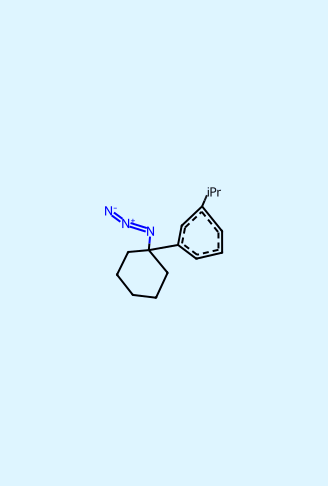 CC(C)c1cccc(C2(N=[N+]=[N-])CCCCC2)c1